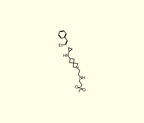 CC/C(=C\c1ccccc1)[C@@H]1C[C@H]1NC1CC2(C1)CN(CCNCCS(C)(=O)=O)C2